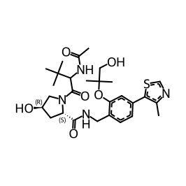 CC(=O)NC(C(=O)N1C[C@H](O)C[C@H]1C(=O)NCc1ccc(-c2scnc2C)cc1OC(C)(C)CO)C(C)(C)C